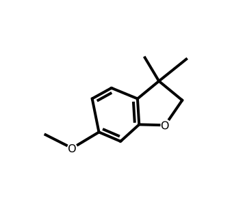 COc1ccc2c(c1)OCC2(C)C